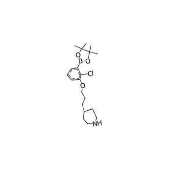 CC1(C)OB(c2cccc(OCCCC3CCNCC3)c2Cl)OC1(C)C